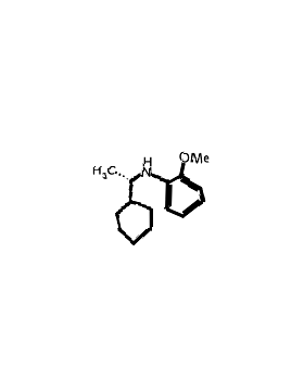 COc1ccccc1N[C@@H](C)C1CCCCC1